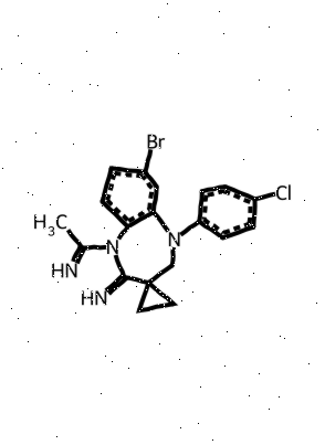 CC(=N)N1C(=N)C2(CC2)CN(c2ccc(Cl)cc2)c2cc(Br)ccc21